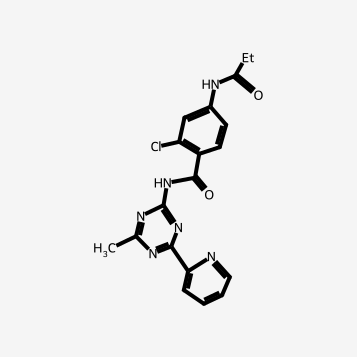 CCC(=O)Nc1ccc(C(=O)Nc2nc(C)nc(-c3ccccn3)n2)c(Cl)c1